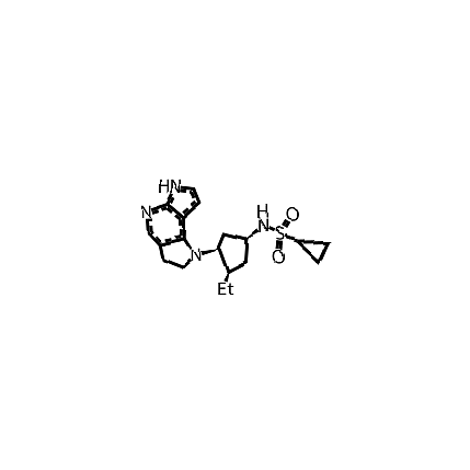 CC[C@@H]1C[C@H](NS(=O)(=O)C2CC2)C[C@@H]1N1CCc2cnc3[nH]ccc3c21